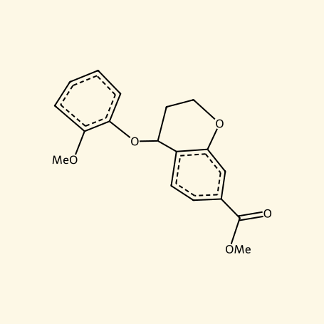 COC(=O)c1ccc2c(c1)OCCC2Oc1ccccc1OC